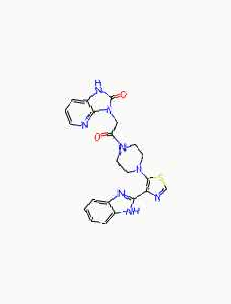 O=C(Cn1c(=O)[nH]c2cccnc21)N1CCN(c2scnc2-c2nc3ccccc3[nH]2)CC1